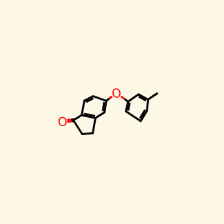 Cc1cccc(Oc2ccc3c(c2)CCC3=O)c1